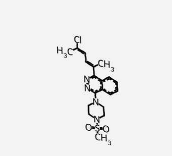 C/C(Cl)=C\C=C(/C)c1nnc(N2CCN(S(C)(=O)=O)CC2)c2ccccc12